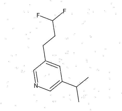 CC(C)c1cncc(CCC(F)F)c1